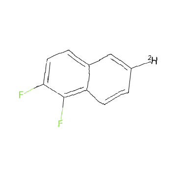 [2H]c1ccc2c(F)c(F)ccc2c1